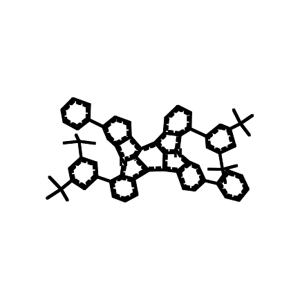 CC(C)(C)c1cc(-c2cccc3c4c5c6ccc(-c7ccccc7)cc6n6c7c(-c8cc(C(C)(C)C)cc(C(C)(C)C)c8)cccc7c(c7c8ccc(-c9ccccc9)cc8n(c23)c74)c56)cc(C(C)(C)C)c1